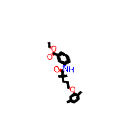 CCOC(=O)c1cccc(NC(=O)C(C)(C)CCCOc2cc(C)ccc2C)c1